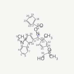 C=Cn1c2ccccc2c2cc(/C(=N\OC(=O)c3ccccc3)c3ccc(OC(C)CO)cc3C)ccc21